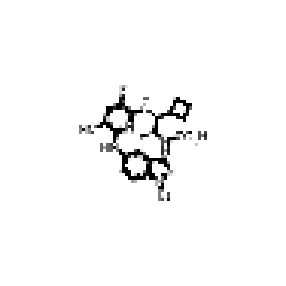 CCn1ncc2cc(Nc3nc(N[C@@H](C4CCC4)[C@H](C)NC(=O)O)c(F)cc3C#N)ccc21